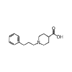 O=C(O)C1CCN(CCCc2ccccc2)CC1